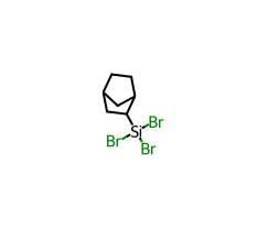 Br[Si](Br)(Br)C1CC2CCC1C2